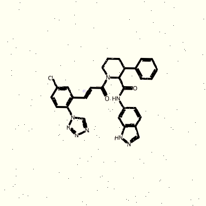 O=C(Nc1ccc2cn[nH]c2c1)C1C(c2ccccc2)CCCN1C(=O)/C=C/c1cc(Cl)ccc1-n1cnnn1